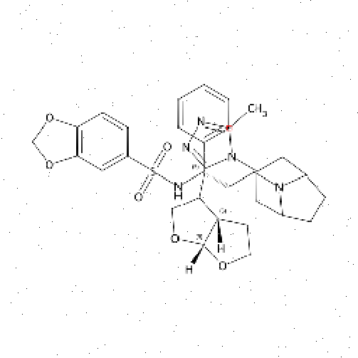 Cc1nnc(C2CO[C@H]3OCC[C@@H]23)n1C1CC2CCC(C1)N2CC[C@H](NS(=O)(=O)c1ccc2c(c1)OCO2)c1ccccc1